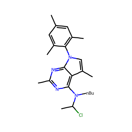 CCCCN(c1nc(C)nc2c1c(C)cn2-c1c(C)cc(C)cc1C)C(C)Cl